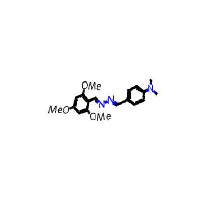 COc1cc(OC)c(/C=N/N=C/c2ccc(N(C)C)cc2)c(OC)c1